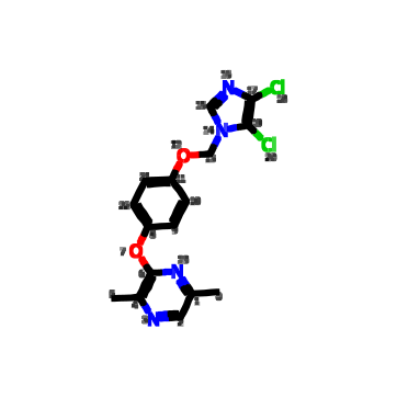 Cc1cnc(C)c(Oc2ccc(OCn3cnc(Cl)c3Cl)cc2)n1